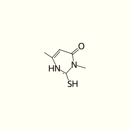 CC1=CC(=O)N(C)[C](S)N1